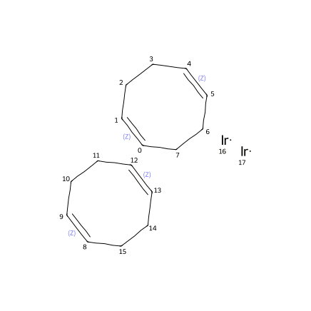 C1=C\CC/C=C\CC/1.C1=C\CC/C=C\CC/1.[Ir].[Ir]